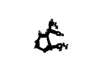 [CH2]c1cccnc1C(N)=O